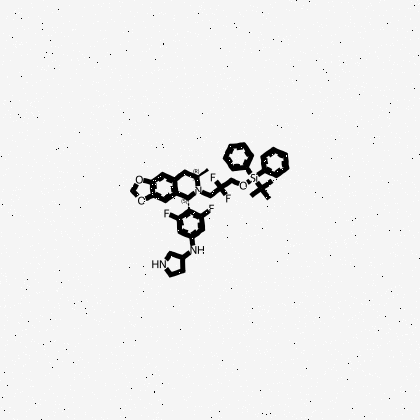 C[C@@H]1Cc2cc3c(cc2[C@@H](c2c(F)cc(NC4CCNC4)cc2F)N1CC(F)(F)CO[Si](c1ccccc1)(c1ccccc1)C(C)(C)C)OCO3